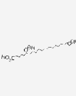 O=C(O)C=CC=CC(CCCCCCCCCCCCCCOO)OO